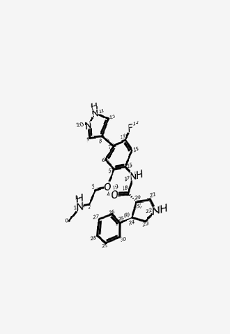 CNCCOc1cc(-c2cn[nH]c2)c(F)cc1NC(=O)[C@@H]1CNC[C@H]1c1ccccc1